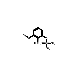 CCOc1cccc(O[Si](C)(C)C)c1C